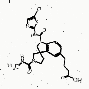 CNC(=O)N1CCC2(C1)CN(C(=O)Nc1ncc(Cl)s1)c1ccc(CCCC(=O)O)cc12